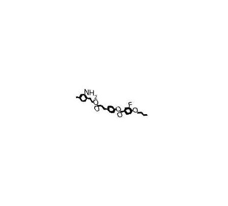 CCCCOc1ccc(C(=O)Oc2ccc(/C=C/C(=O)OCCC3=C(N)C=C(C)CC3)cc2)cc1F